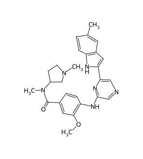 COc1cc(C(=O)N(C)C2CCN(C)C2)ccc1Nc1cncc(-c2cc3cc(C)ccc3[nH]2)n1